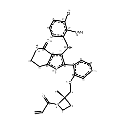 C=CC(=O)N1CC[C@@]1(C)COc1cnccc1-c1[nH]c2c(c1Nc1cccc(Cl)c1OC)C(=O)NCC2